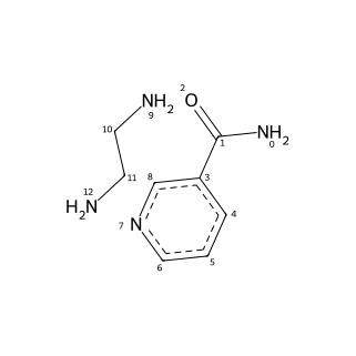 NC(=O)c1cccnc1.NCCN